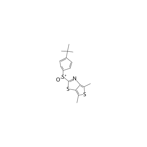 Cc1sc(C)c2sc([S+]([O-])c3ccc(C(C)(C)C)cc3)nc12